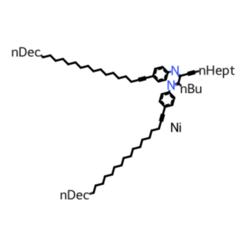 CCCCCCCC#CC(=Nc1ccc(C#CCCCCCCCCCCCCCCCCCCCCCCCCC)cc1)C(CCCC)=Nc1ccc(C#CCCCCCCCCCCCCCCCCCCCCCCCCC)cc1.[Ni]